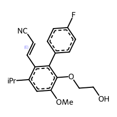 COc1cc(C(C)C)c(/C=C/C#N)c(-c2ccc(F)cc2)c1OCCO